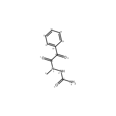 CN(NC(N)=O)C(=O)C(=O)c1ccccc1